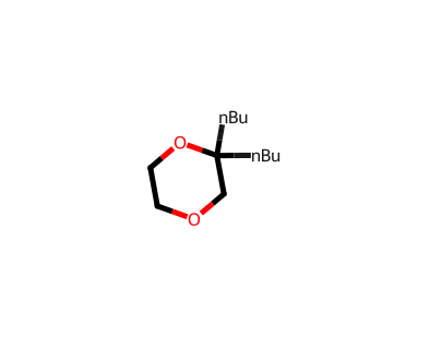 CCCCC1(CCCC)COCCO1